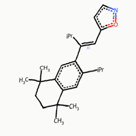 CC(C)/C(=C\c1ccno1)c1cc2c(cc1C(C)C)C(C)(C)CCC2(C)C